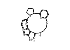 Nc1nn2ccc3nc2c1C(=O)NCCOc1cccc(n1)C1CCCN31